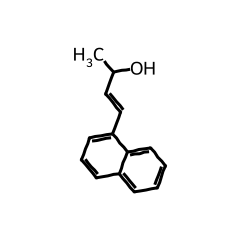 CC(O)C=Cc1cccc2ccccc12